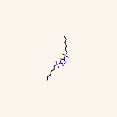 CCCCCC[N+](C)(C)c1nnc([N+](C)(C)CCCCCC)s1